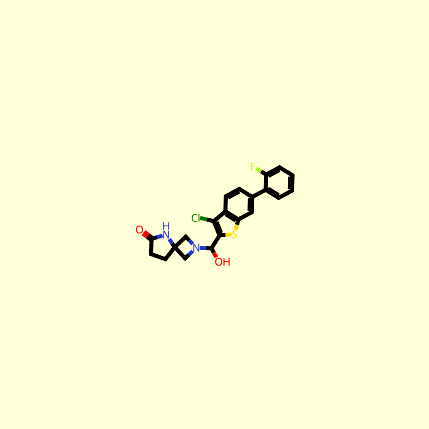 O=C1CCC2(CN(C(O)c3sc4cc(-c5ccccc5F)ccc4c3Cl)C2)N1